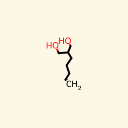 C=CCCCC(CO)CO